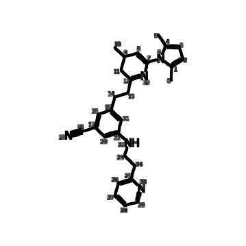 Cc1ccc(C)n1C1=CC(C)CC(CCc2cc(C#N)cc(NCCc3ccccn3)c2)=N1